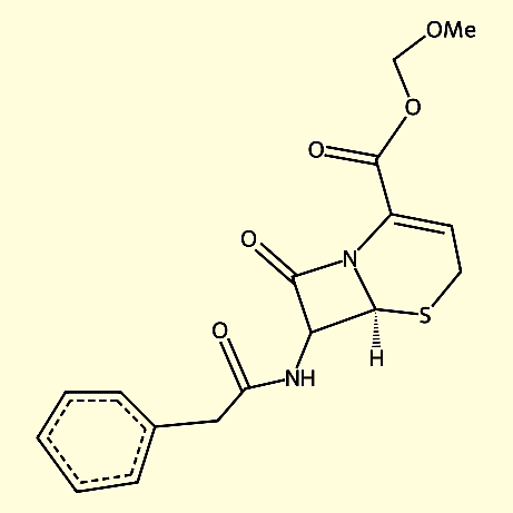 COCOC(=O)C1=CCS[C@H]2C(NC(=O)Cc3ccccc3)C(=O)N12